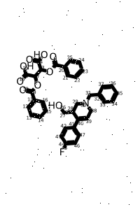 O=C(OC(C(=O)O)C(OC(=O)c1ccccc1)C(=O)O)c1ccccc1.OCC1CN(Cc2ccccc2)CC=C1c1ccc(F)cc1